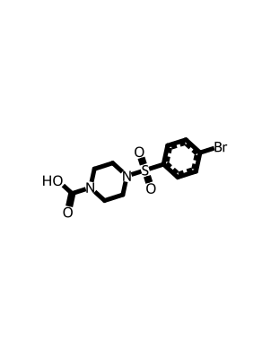 O=C(O)N1CCN(S(=O)(=O)c2ccc(Br)cc2)CC1